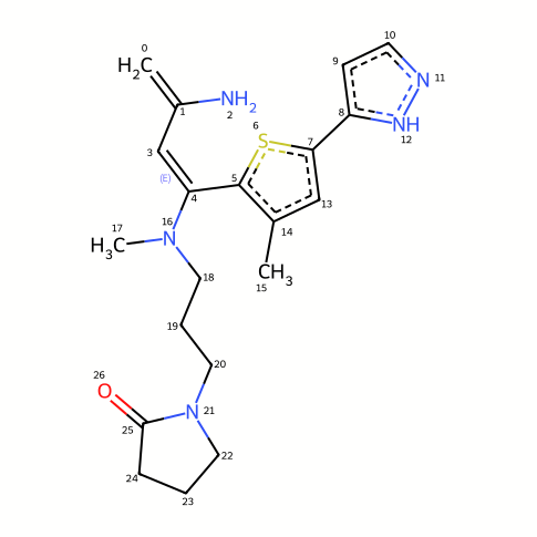 C=C(N)/C=C(\c1sc(-c2ccn[nH]2)cc1C)N(C)CCCN1CCCC1=O